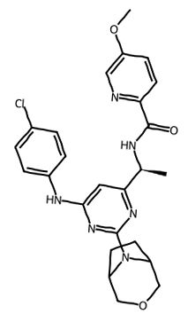 COc1ccc(C(=O)N[C@@H](C)c2cc(Nc3ccc(Cl)cc3)nc(N3C4CCC3COC4)n2)nc1